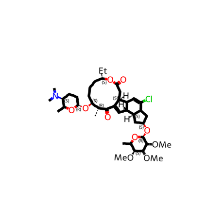 CC[C@H]1CCC[C@H](O[C@H]2CC[C@H](N(C)C)C(C)O2)[C@@H](C)C(=O)C2=C[C@@H]3C(C=C(Cl)C4C[C@@H](O[C@@H]5OC(C)[C@H](OC)C(OC)C5OC)C[C@H]43)[C@@H]2CC(=O)O1